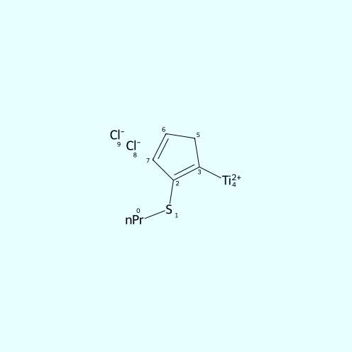 CCCSC1=[C]([Ti+2])CC=C1.[Cl-].[Cl-]